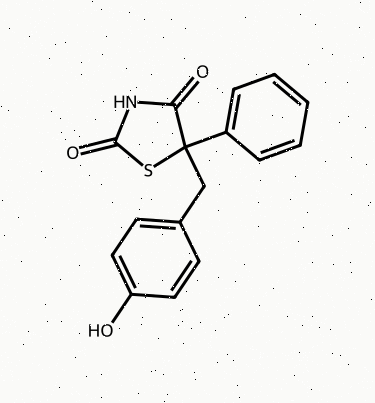 O=C1NC(=O)C(Cc2ccc(O)cc2)(c2ccccc2)S1